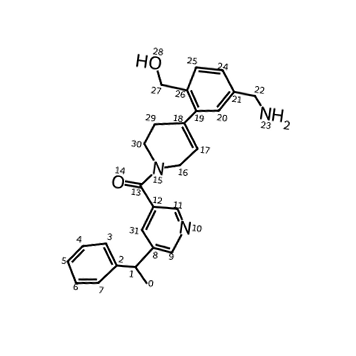 CC(c1ccccc1)c1cncc(C(=O)N2CC=C(c3cc(CN)ccc3CO)CC2)c1